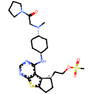 CN(CC(=O)N1CCCC1)[C@H]1CC[C@H](Nc2ncnc3sc4c(c23)[C@@H](CCOS(C)(=O)=O)CC4)CC1